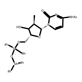 CC(=O)Nc1ccn([C@@H]2O[C@H](CO[Si](O[SiH](C(C)C)C(C)C)(C(C)C)C(C)C)C(O)[C@H]2C)c(=O)n1